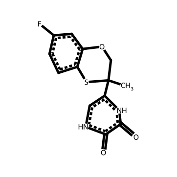 CC1(c2c[nH]c(=O)c(=O)[nH]2)COc2cc(F)ccc2S1